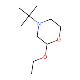 CCOC1CN(C(C)(C)C)CCO1